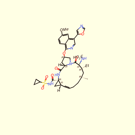 CC[C@@H]1C[C@H](C)CCC=C[C@@H]2C[C@@]2(C(=O)NS(=O)(=O)C2CC2)NC(=O)[C@@H]2C[C@@H](Oc3ncc(-c4cnco4)c4cc(OC)ccc34)CN2C(=O)[C@H]1NC(=O)O